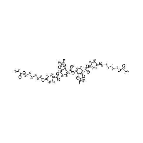 C=CC(=O)OCCCCCCOc1ccc(OC(=O)c2ccc(OC(=O)c3ccc(OC(=O)c4ccc(OCCCCCCOC(=O)C=C)cc4)c4c3OC(F)(F)O4)c3c2OC(F)(F)O3)cc1